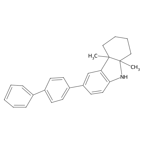 CC12CCCCC1(C)c1cc(-c3ccc(-c4ccccc4)cc3)ccc1N2